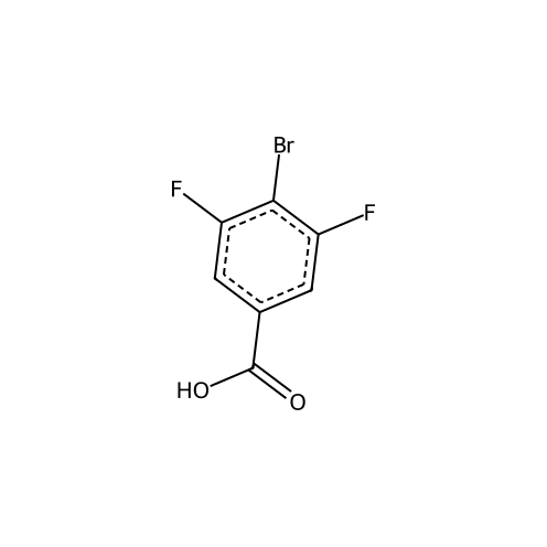 O=C(O)c1cc(F)c(Br)c(F)c1